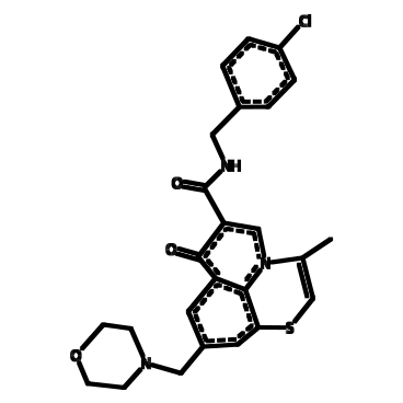 CC1=CSc2cc(CN3CCOCC3)cc3c(=O)c(C(=O)NCc4ccc(Cl)cc4)cn1c23